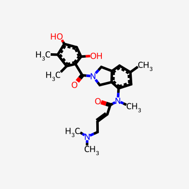 Cc1cc2c(c(N(C)C(=O)/C=C/CN(C)C)c1)CN(C(=O)c1c(O)cc(O)c(C)c1C)C2